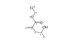 C=C(CC(C)O)C(=O)OCCl